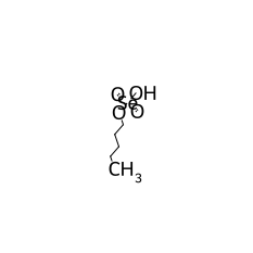 CCCCCO[Se](=O)(=O)O